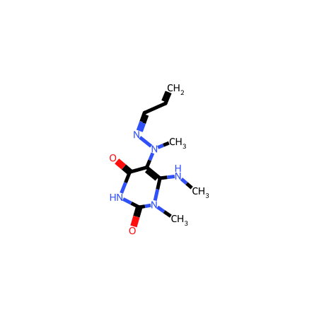 C=C/C=N\N(C)c1c(NC)n(C)c(=O)[nH]c1=O